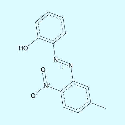 Cc1ccc([N+](=O)[O-])c(/N=N/c2ccccc2O)c1